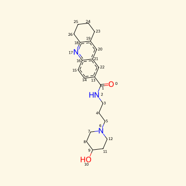 O=C(NCCCN1CCC(O)CC1)c1ccc2nc3c(cc2c1)CCCC3